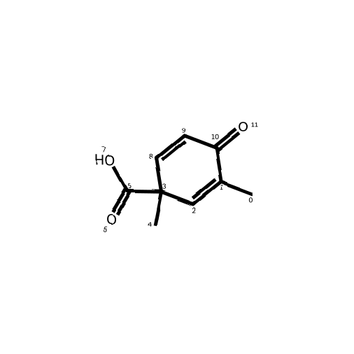 CC1=CC(C)(C(=O)O)C=CC1=O